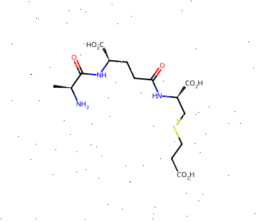 C[C@H](N)C(=O)N[C@H](CCC(=O)N[C@H](CSCCC(=O)O)C(=O)O)C(=O)O